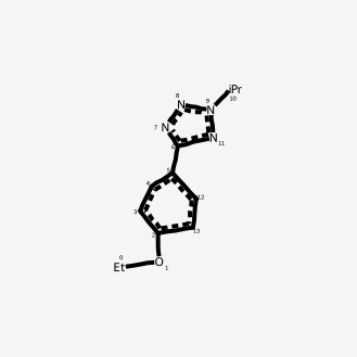 CCOc1ccc(-c2nnn(C(C)C)n2)cc1